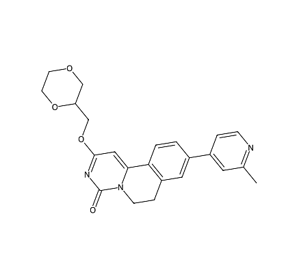 Cc1cc(-c2ccc3c(c2)CCn2c-3cc(OCC3COCCO3)nc2=O)ccn1